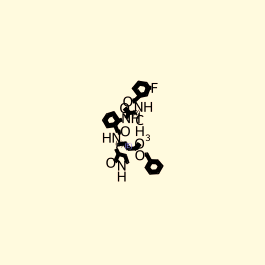 C[C@@H](NC(=O)c1cccc(F)c1)C(=O)Nc1ccccc1C(=O)N[C@H](/C=C/C(=O)OCc1ccccc1)CC1CCNC1=O